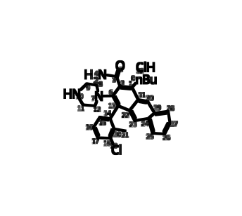 CCCCc1c(C(N)=O)c(N2CCNCC2)c(-c2cccc(Cl)c2C)c2cc3ccccc3cc12.Cl